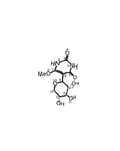 COc1[nH]c(=O)[nH]c(=O)c1C1OC[C@@H](O)[C@H](O)[C@H]1O